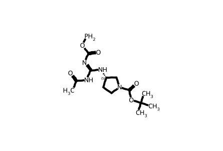 CC(=O)NC(=NC(=O)OP)N[C@H]1CCN(C(=O)OC(C)(C)C)C1